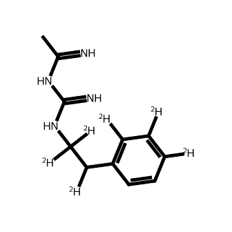 [2H]c1ccc(C([2H])C([2H])([2H])NC(=N)NC(C)=N)c([2H])c1[2H]